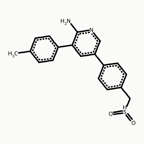 Cc1ccc(-c2cc(-c3ccc(C[SH](=O)=O)cc3)cnc2N)cc1